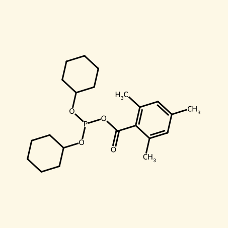 Cc1cc(C)c(C(=O)OP(OC2CCCCC2)OC2CCCCC2)c(C)c1